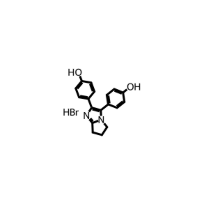 Br.Oc1ccc(-c2nc3n(c2-c2ccc(O)cc2)CCC3)cc1